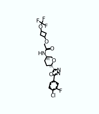 O=C(COC1CC(OC(F)(F)F)C1)N[C@@H]1CC[C@@H](c2nnc(-c3ccc(Cl)c(F)c3)o2)OC1